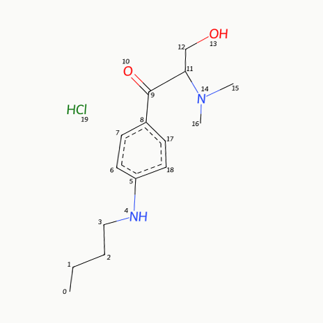 CCCCNc1ccc(C(=O)C(CO)N(C)C)cc1.Cl